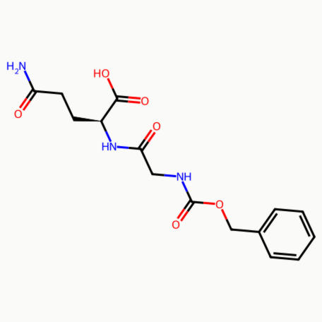 NC(=O)CC[C@H](NC(=O)CNC(=O)OCc1ccccc1)C(=O)O